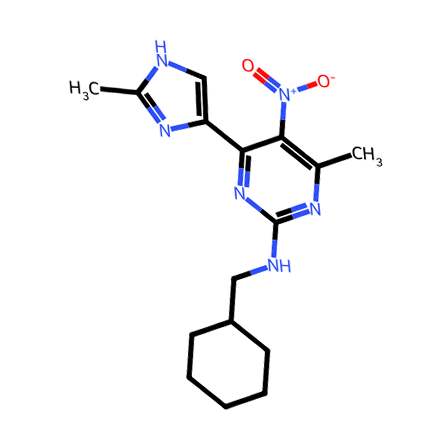 Cc1nc(-c2nc(NCC3CCCCC3)nc(C)c2[N+](=O)[O-])c[nH]1